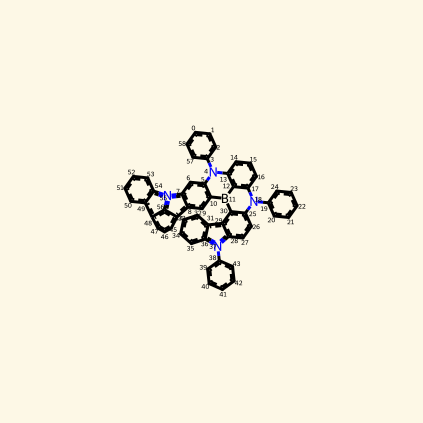 c1ccc(N2c3cc4c(cc3B3c5c2cccc5N(c2ccccc2)c2ccc5c(c23)c2ccccc2n5-c2ccccc2)c2cccc3c5ccccc5n4c32)cc1